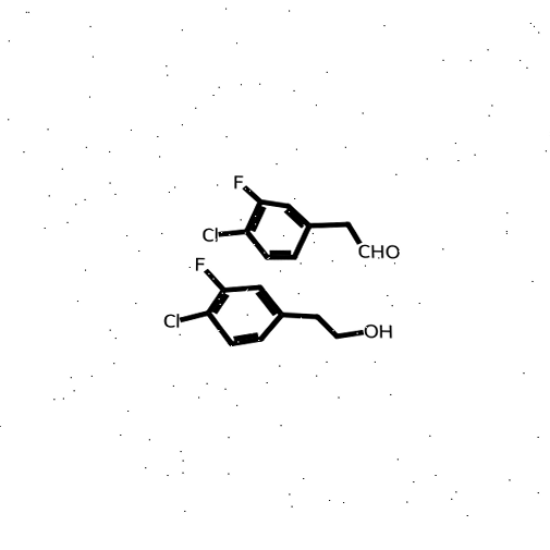 O=CCc1ccc(Cl)c(F)c1.OCCc1ccc(Cl)c(F)c1